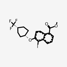 COC(=O)c1cccc2c(I)c(O[C@H]3CC[C@@H](C(F)(F)F)CC3)ccc12